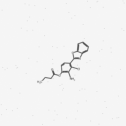 CCCC(=O)Oc1ccc(-c2nc3ccccc3o2)c(Cl)c1N